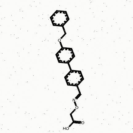 O=C(O)CON=Cc1ccc(-c2ccc(OCc3ccccc3)cc2)cc1